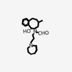 CC1CCc2ccccc2[C@@H](O)[C@@H](N(C=O)CCCN2CCCCCC2)C1